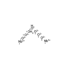 O.O.[Nb+5].[Nb+5].[O-2].[O-2].[O-2].[O-2].[O-2]